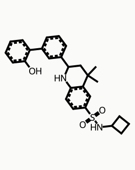 CC1(C)CC(c2cccc(-c3ccccc3O)c2)Nc2ccc(S(=O)(=O)NC3CCC3)cc21